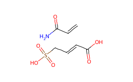 C=CC(N)=O.O=C(O)C=CCS(=O)(=O)O